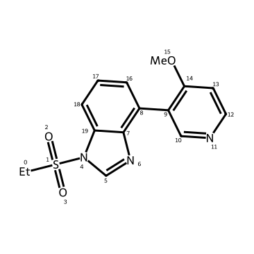 CCS(=O)(=O)n1cnc2c(-c3cnccc3OC)cccc21